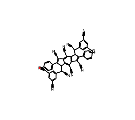 N#CC1=C(c2ccc(F)cc2)C(C(C#N)c2cc(C#N)cc(C#N)c2)c2c(C#N)c3c(c(C#N)c21)C(C(C#N)c1cc(C#N)cc(C#N)c1)C(c1ccc(F)cc1)=C3C#N